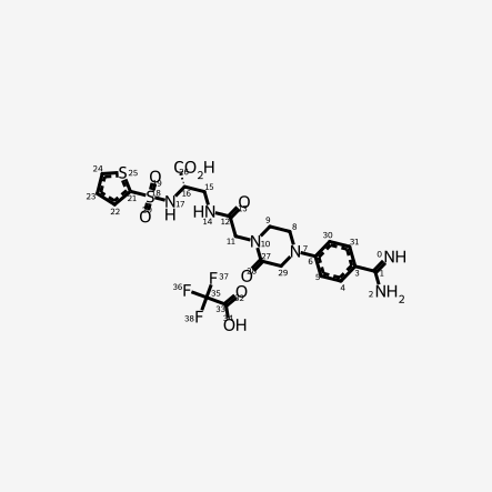 N=C(N)c1ccc(N2CCN(CC(=O)NC[C@H](NS(=O)(=O)c3cccs3)C(=O)O)C(=O)C2)cc1.O=C(O)C(F)(F)F